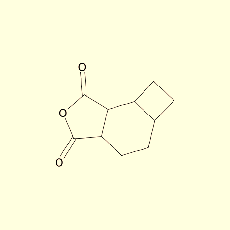 O=C1OC(=O)C2C1CCC1CCC12